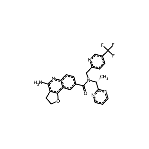 C[C@H](c1ncccn1)N(Cc1ccc(C(F)(F)F)cn1)C(=O)c1ccc2nc(N)c3c(c2c1)OCC3